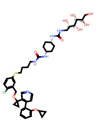 O=C(NCCCCSc1ccc(Cl)c(COC2(c3cnccc3-c3ccccc3OC3CC3)CC2)c1)N[C@H]1CC[C@@H](NC(=O)NC[C@H](O)[C@@H](O)[C@H](O)[C@H](O)CO)CC1